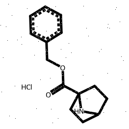 Cl.O=C(OCc1ccccc1)C12CCC(CC1)N2